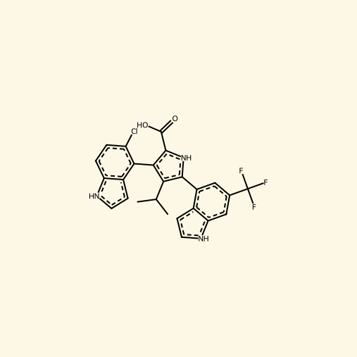 CC(C)c1c(-c2cc(C(F)(F)F)cc3[nH]ccc23)[nH]c(C(=O)O)c1-c1c(Cl)ccc2[nH]ccc12